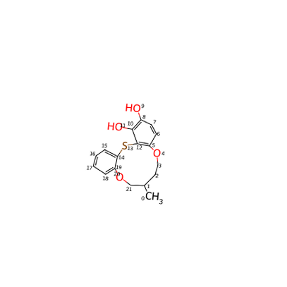 CC1CCOc2ccc(O)c(O)c2Sc2ccccc2OC1